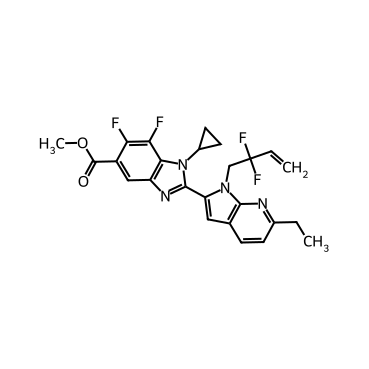 C=CC(F)(F)Cn1c(-c2nc3cc(C(=O)OC)c(F)c(F)c3n2C2CC2)cc2ccc(CC)nc21